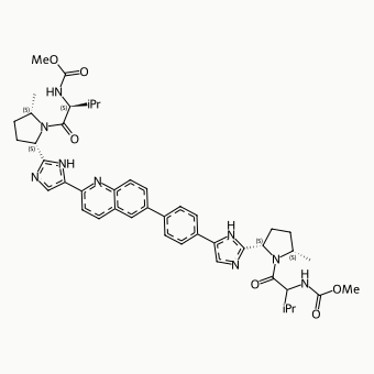 COC(=O)NC(C(=O)N1[C@@H](C)CC[C@H]1c1ncc(-c2ccc(-c3ccc4nc(-c5cnc([C@@H]6CC[C@H](C)N6C(=O)[C@@H](NC(=O)OC)C(C)C)[nH]5)ccc4c3)cc2)[nH]1)C(C)C